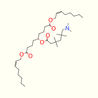 CCCCC/C=C\COC(=O)CCCC(CCCC(=O)OC/C=C\CCCCC)OC(=O)CC(C)(C)CC(C)(C)CN(C)C